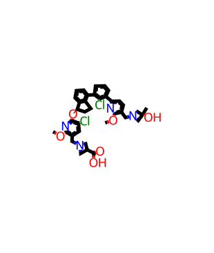 COc1nc(-c2cccc(-c3cccc4c3CC[C@@H]4Oc3nc(OC)c(CN4CC(C(=O)O)C4)cc3Cl)c2Cl)ccc1CN1CC(C)(O)C1